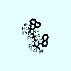 CCC(CC)(C(=O)N[C@@H](c1cccc2ccccc12)C(O)(CC(C)C)CC(C)C)C(=O)N[C@@H](c1cccc2ccccc12)C(O)(CC(C)C)CC(C)C